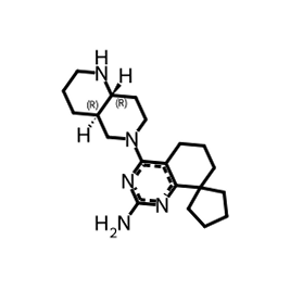 Nc1nc(N2CC[C@H]3NCCC[C@@H]3C2)c2c(n1)C1(CCCC1)CCC2